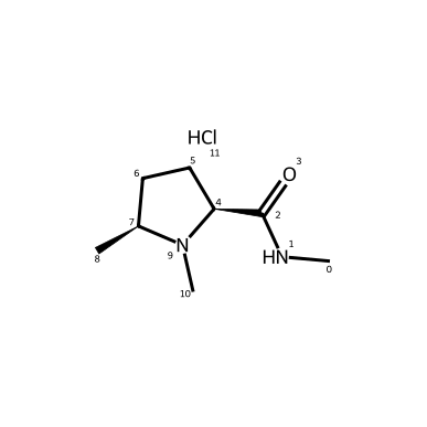 CNC(=O)[C@@H]1CC[C@H](C)N1C.Cl